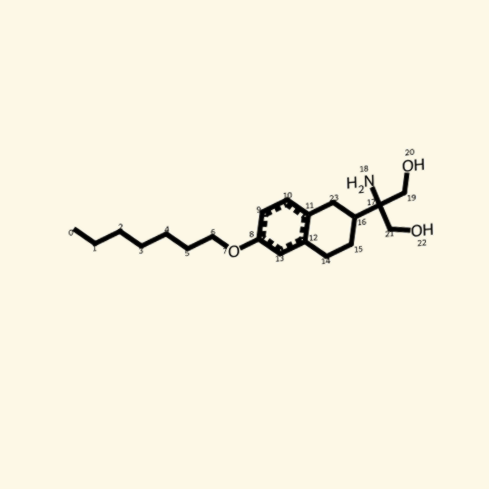 CCCCCCCOc1ccc2c(c1)CCC(C(N)(CO)CO)C2